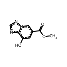 COC(=O)c1cc(O)c2ncnn2c1